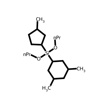 CCCO[Si](OCCC)(C1CCC(C)C1)C1CC(C)CC(C)C1